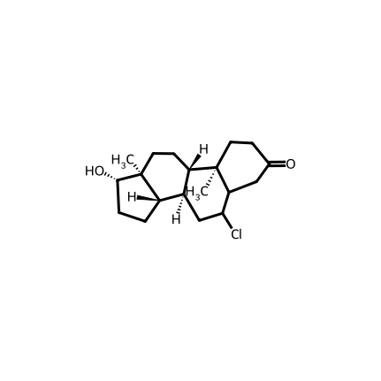 C[C@]12CC[C@H]3[C@@H](CC(Cl)C4CC(=O)CC[C@@]43C)[C@@H]1CC[C@@H]2O